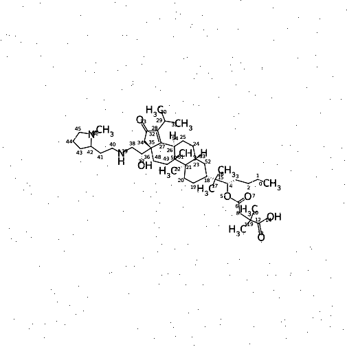 CCCC[C@H](OC(=O)CC(C)(C)C(=O)O)C(C)(C)[C@@H]1CC[C@]2(C)[C@H](CC[C@@H]3C4=C(C(C)C)C(=O)C[C@]4([C@H](O)CNCCC4CCCN4C)CC[C@]32C)C1